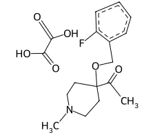 CC(=O)C1(OCc2ccccc2F)CCN(C)CC1.O=C(O)C(=O)O